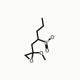 CCCC(CC1(OC)CO1)[N+](=O)[O-]